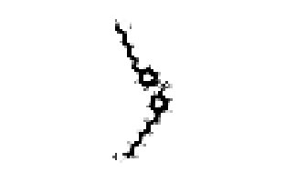 CCCCCCCCc1cc[c]([Ni](=[S])[c]2ccc(CCCCCCCC)cc2)cc1